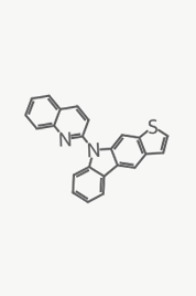 c1ccc2nc(-n3c4ccccc4c4cc5ccsc5cc43)ccc2c1